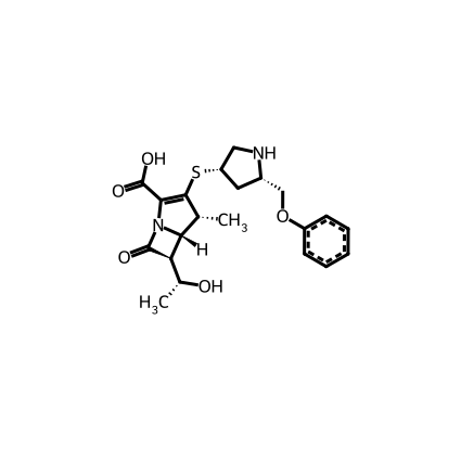 C[C@@H](O)[C@H]1C(=O)N2C(C(=O)O)=C(S[C@@H]3CN[C@H](COc4ccccc4)C3)[C@H](C)[C@H]12